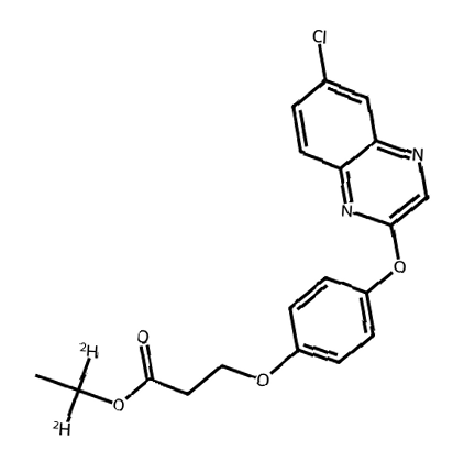 [2H]C([2H])(C)OC(=O)CCOc1ccc(Oc2cnc3cc(Cl)ccc3n2)cc1